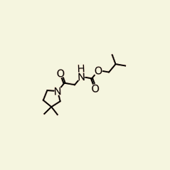 CC(C)COC(=O)NCC(=O)N1CCC(C)(C)C1